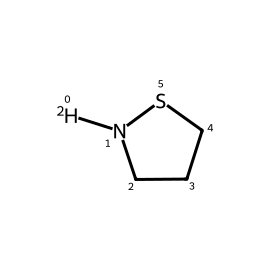 [2H]N1CCCS1